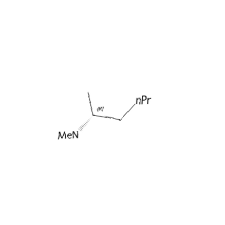 CCCC[C@@H](C)NC